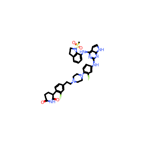 CS(=O)(=O)N1CCc2cccc(Nc3nc(Nc4ccc(N5CCN(CCc6ccc(C7CCC(=O)NC7=O)c(F)c6)CC5)c(F)c4)nc4[nH]ccc34)c21